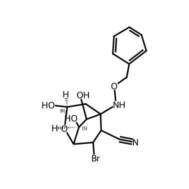 N#CC1C(Br)C2O[C@@H](O)CC1(NOCc1ccccc1)C(O)[C@@H]2O